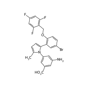 Cc1ccc(-c2cc(Br)ccc2OCc2c(F)cc(F)cc2F)n1-c1cc(N)cc(C(=O)O)c1